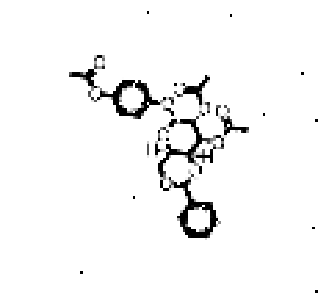 CC(=O)Oc1ccc(O[C@@H]2O[C@@H]3COC(c4ccccc4)O[C@H]3[C@H](OC(C)=O)[C@H]2OC(C)=O)cc1